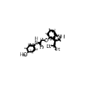 CCC(CC)c1c[nH]c2cccc(OCC(=O)NC3CCC(O)CC3)c12